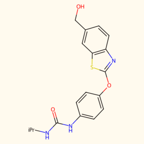 CC(C)NC(=O)Nc1ccc(Oc2nc3ccc(CO)cc3s2)cc1